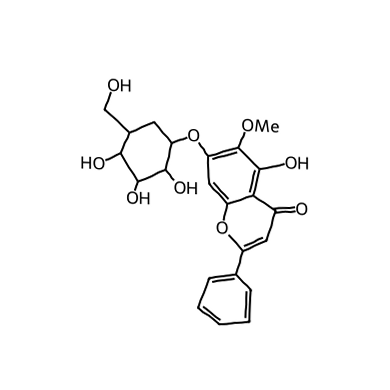 COc1c(OC2CC(CO)C(O)C(O)C2O)cc2oc(-c3ccccc3)cc(=O)c2c1O